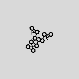 Cp1c2ccccc2c2cccc(-c3cccc4c(-c5cccc6c5-c5ccccc5C65c6ccccc6-c6ccccc65)c5cccc(-c6cccc7c8ccccc8p(C)c67)c5cc34)c21